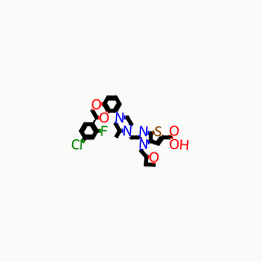 CC1CN(c2cccc3c2O[C@@H](c2ccc(Cl)cc2F)CO3)CCN1CC1=NC2SC(C(=O)O)=CC2N1CC1CCO1